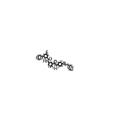 Cc1ncc(NC(=O)c2cc(F)cc(N3CCOCC3)c2)cc1C(=O)Nc1ccc(OCCN2CCOCC2)cc1